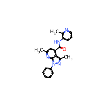 Cc1cc(C(=O)Nc2cccnc2C)c2c(C)nn(-c3ccccc3)c2n1